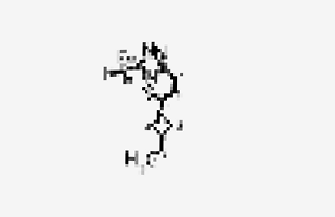 CCC1CN(c2ccc3nnc(C(F)(F)F)n3n2)C1